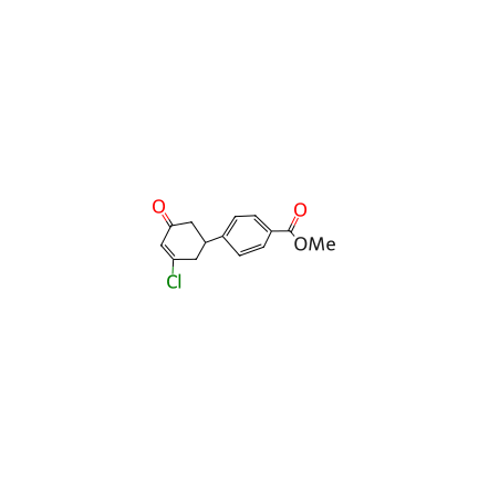 COC(=O)c1ccc(C2CC(=O)C=C(Cl)C2)cc1